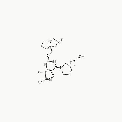 O[C@H]1C[C@@]2(CCCN(c3nc(OC[C@@]45CCCN4C[C@H](F)C5)nc4c(F)c(Cl)ncc34)C2)C1